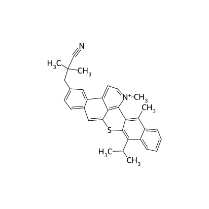 Cc1c2c(c(C(C)C)c3ccccc13)Sc1cc3ccc(CC(C)(C)C#N)cc3c3cc[n+](C)c-2c13